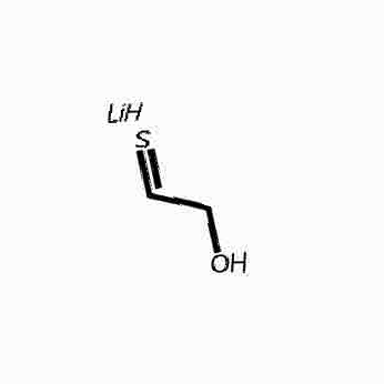 OCC=S.[LiH]